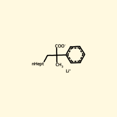 CCCCCCCCC(C)(C(=O)[O-])c1ccccc1.[Li+]